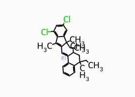 CCC1(C)CC(C)/C(=C\C2=C(C)c3c(Cl)cc(Cl)cc3C2(C)CC)c2ccccc21